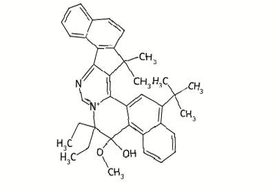 CCC1(CC)[n+]2cnc3c(c2-c2cc(C(C)(C)C)c4ccccc4c2C1(O)OC)C(C)(C)c1ccc2ccccc2c1-3